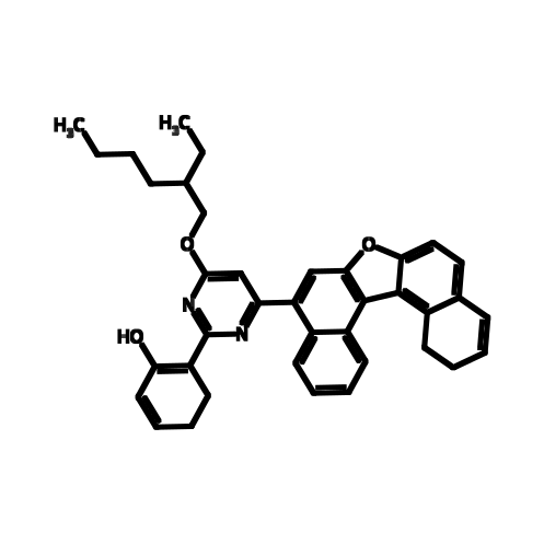 CCCCC(CC)COc1cc(-c2cc3oc4ccc5c(c4c3c3ccccc23)CCC=C5)nc(C2=C(O)C=CCC2)n1